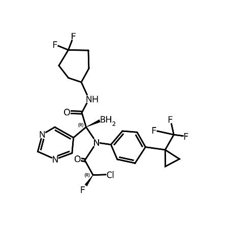 B[C@](C(=O)NC1CCC(F)(F)CC1)(c1cncnc1)N(C(=O)[C@H](F)Cl)c1ccc(C2(C(F)(F)F)CC2)cc1